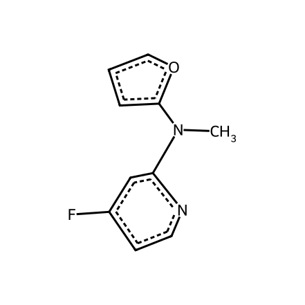 CN(c1cc(F)ccn1)c1ccco1